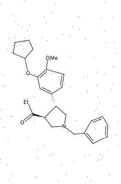 CCC(=O)[C@@H]1CN(Cc2ccccc2)C[C@H]1c1ccc(OC)c(OC2CCCC2)c1